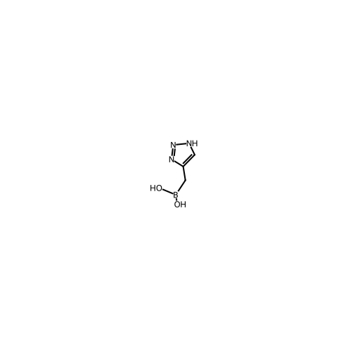 OB(O)Cc1c[nH]nn1